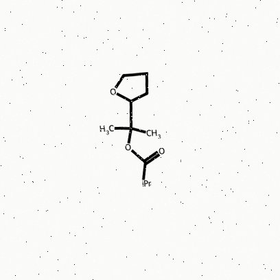 CC(C)C(=O)OC(C)(C)C1CCCO1